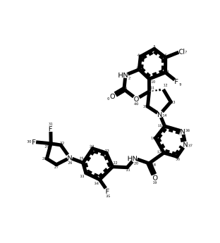 O=C1Nc2ccc(Cl)c(F)c2[C@]2(CCN(c3cc(C(=O)NCc4ccc(N5CCC(F)(F)C5)cc4F)cnn3)C2)O1